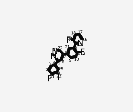 Fc1ccc(-c2cc(-c3ccc(F)c(-c4ncccc4F)c3)cnn2)cc1F